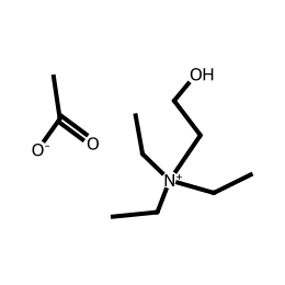 CC(=O)[O-].CC[N+](CC)(CC)CCO